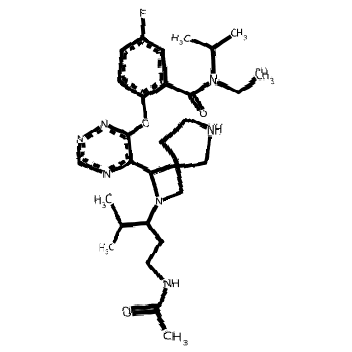 CCN(C(=O)c1cc(F)ccc1Oc1nncnc1C1N(C(CCNC(C)=O)C(C)C)CC12CCNC2)C(C)C